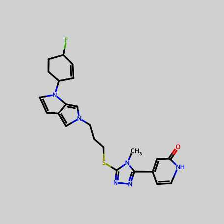 Cn1c(SCCCn2cc3ccn(C4C=CC(F)CC4)c3c2)nnc1-c1cc[nH]c(=O)c1